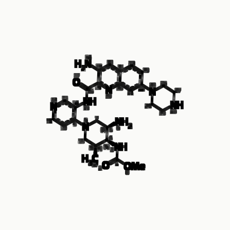 COC(=O)N[C@@H]1[C@H](N)CN(c2ccncc2NC(=O)c2nc3cc(N4CCNCC4)ccc3cc2N)C[C@@H]1C